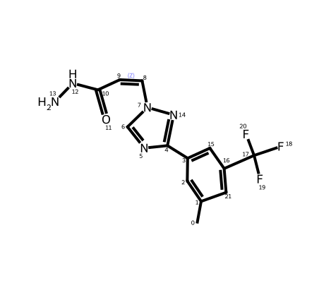 Cc1cc(-c2ncn(/C=C\C(=O)NN)n2)cc(C(F)(F)F)c1